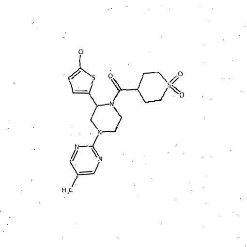 Cc1cnc(N2CCN(C(=O)C3CCS(=O)(=O)CC3)C(c3ccc(Cl)s3)C2)nc1